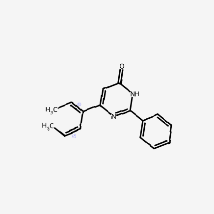 C/C=C\C(=C/C)c1cc(=O)[nH]c(-c2ccccc2)n1